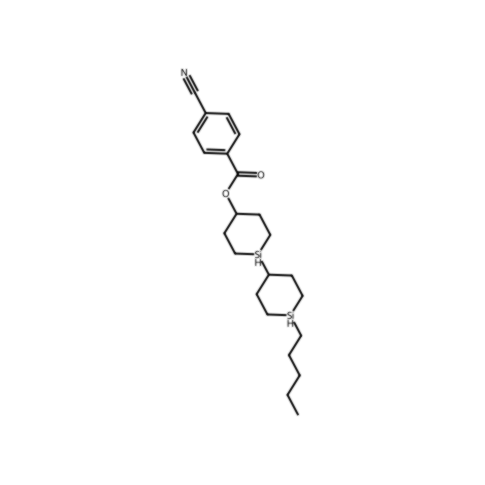 CCCCC[SiH]1CCC([SiH]2CCC(OC(=O)c3ccc(C#N)cc3)CC2)CC1